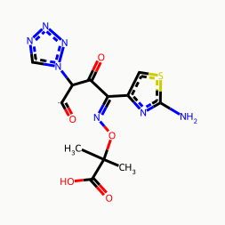 CC(C)(ON=C(C(=O)C([C]=O)n1cnnn1)c1csc(N)n1)C(=O)O